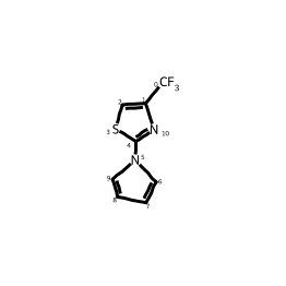 FC(F)(F)c1csc(-n2cccc2)n1